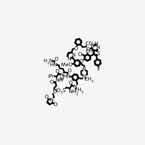 COc1ccccc1-c1nccc(COc2ccccc2C[C@@H](Oc2ncnc3sc(-c4ccc(F)cc4)c(-c4ccc(OCCN5CC[N+](C)(Cc6ccc(NC(=O)C(CCCNC(N)=O)NC(=O)C(NC(=O)CCOCCN7C(=O)C=CC7=O)C(C)C)cc6CN(C)C(=O)C(N)CS(=O)(=O)O)CC5)c(Cl)c4C)c23)C(=O)O)n1